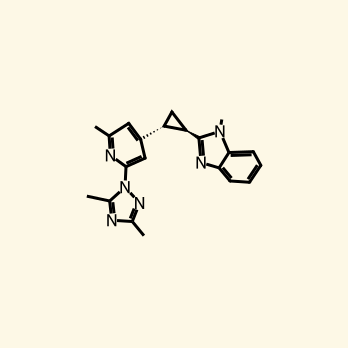 Cc1cc([C@@H]2C[C@H]2c2nc3ccccc3n2C)cc(-n2nc(C)nc2C)n1